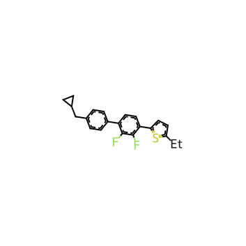 CCc1ccc(-c2ccc(-c3ccc(CC4CC4)cc3)c(F)c2F)s1